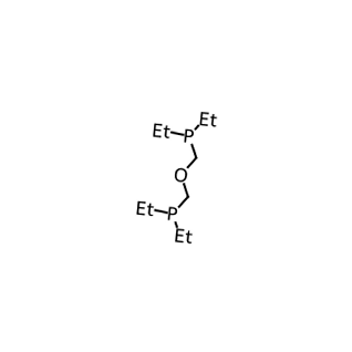 CCP(CC)COCP(CC)CC